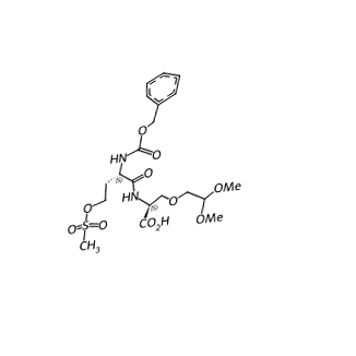 COC(COC[C@H](NC(=O)[C@H](CCOS(C)(=O)=O)NC(=O)OCc1ccccc1)C(=O)O)OC